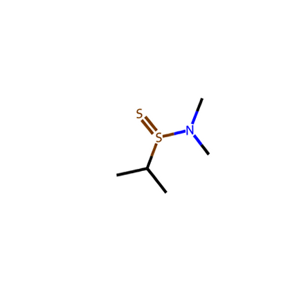 CC(C)S(=S)N(C)C